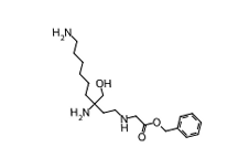 NCCCCCCC(N)(CO)CCNCC(=O)OCc1ccccc1